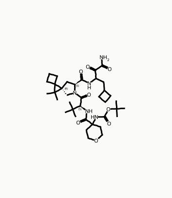 CC(C)(C)OC(=O)NC1(C(=O)N[C@H](C(=O)N2C[C@]3(C[C@H]2C(=O)NC(CC2CCC2)C(=O)C(N)=O)C(C)(C)C32CCC2)C(C)(C)C)CCOCC1